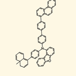 CC12C=CC=CC1=C(c1ccc(N(c3ccc(-c4ccc(-c5cccc6c5ccc5ccccc56)cc4)cc3)c3cccc4oc5ccccc5c34)cc1)C=CC2